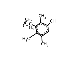 C=C.Cc1cc(C)c(C)c(C)c1C